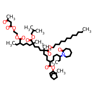 CCCCCCCCCCCCOC(=O)C(C)(CCCC(CCCC(CC)N1CCCCCC1=O)C(=O)OC1CC2CCC1(C)C2)CCCC(C)(CCCC(CC)C(=O)OCCOC(=O)CC(C)=O)C(=O)OCC(C)C